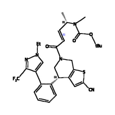 CCn1cc(-c2ccccc2[C@@H]2CN(C(=O)/C=C/[C@H](C)N(C)C(=O)OC(C)(C)C)Cc3sc(C#N)cc32)c(C(F)(F)F)n1